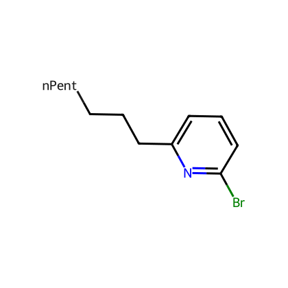 CCCCCCCCc1cccc(Br)n1